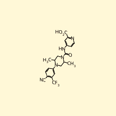 CC1CN(c2ccc(C#N)c(C(F)(F)F)c2)C(C)CN1C(=O)Nc1ccnc(C(=O)O)c1